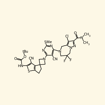 CSc1nc(N2Cc3c(Cl)c(C(=O)N(C)C)nn3CC(F)(F)C2)c(C#N)c(N2CC3(CCc4sc(NC(=O)OC(C)(C)C)c(C#N)c43)C2)n1